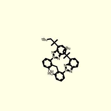 CC(C)(C)CC(C)(C)c1cccc2nn(-c3cccc(O)c3Cc3c(O)cccc3-n3nc4cccc(C(C)(C)CC(C)(C)C)c4n3)nc12